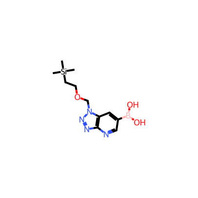 C[Si](C)(C)CCOCn1nnc2ncc(B(O)O)cc21